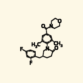 Cc1cc(C(=O)N2CCOCC2)cc(C)c1N1CC(Cc2ccc(F)cc2F)CCC1=O